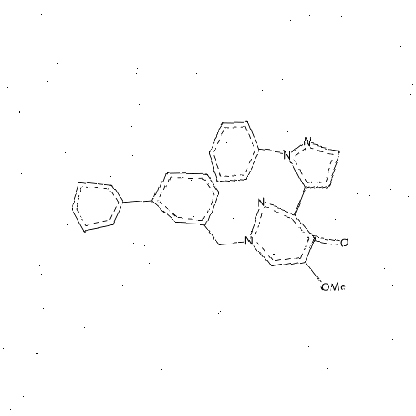 COc1cn(Cc2cccc(-c3ccccc3)c2)nc(-c2ccnn2-c2ccccc2)c1=O